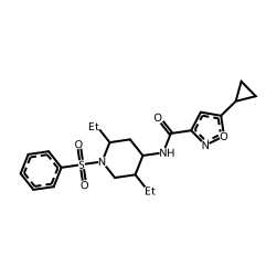 CCC1CN(S(=O)(=O)c2ccccc2)C(CC)CC1NC(=O)c1cc(C2CC2)on1